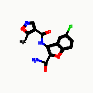 Cc1oncc1C(=O)Nc1c(C(N)=O)oc2ccc(Cl)cc12